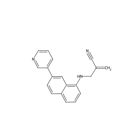 C=C(C#N)CNc1cccc2ccc(-c3cccnc3)cc12